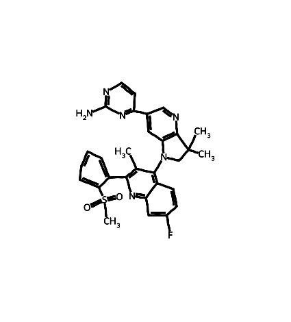 Cc1c(-c2ccccc2S(C)(=O)=O)nc2cc(F)ccc2c1N1CC(C)(C)c2ncc(-c3ccnc(N)n3)cc21